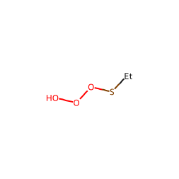 CCSOOO